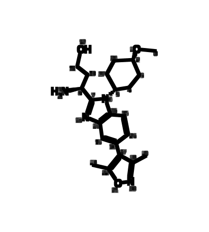 CO[C@H]1CC[C@H](n2c([C@@H](N)CCO)nc3cc(-c4c(C)noc4C)ccc32)CC1